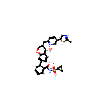 Cc1ncc(-c2ccc(CC3COc4cc(-c5ccccc5C(=O)NS(=O)(=O)C5CC5)ccc4[C@H]3O)nc2)s1